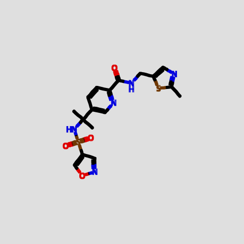 Cc1ncc(CNC(=O)c2ccc(C(C)(C)NS(=O)(=O)c3cnoc3)cn2)s1